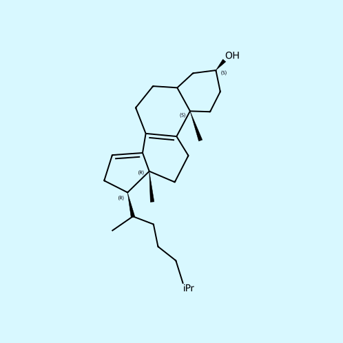 CC(C)CCCC(C)[C@H]1CC=C2C3=C(CC[C@@]21C)[C@@]1(C)CC[C@H](O)CC1CC3